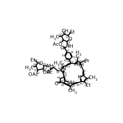 CCC1=C(C)c2cc3[nH]c(c(C)c3C(C)C)c(-c3ccc(C(=O)NC4OC(CC)C(C)C(C)C4OC(C)=O)cc3)c3nc(c4c5[nH]c(cc1n2)c(C)c5C(=O)C4)[C@@H](CCC(=O)NC1OC(CC)C(C)C(OC(C)=O)C1OC(C)=O)[C@@H]3C